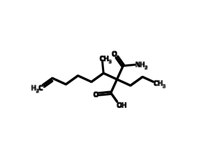 C=CCCCC(C)C(CCC)(C(N)=O)C(=O)O